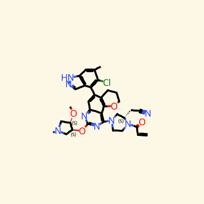 C=CC(=O)N1CCN(c2nc(O[C@H]3CN(C)C[C@@H]3OC)nc3cc(-c4c(Cl)c(C)cc5[nH]ncc45)c4c(c23)OCCC4)C[C@@H]1CC#N